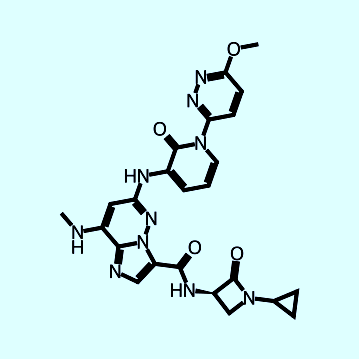 CNc1cc(Nc2cccn(-c3ccc(OC)nn3)c2=O)nn2c(C(=O)N[C@@H]3CN(C4CC4)C3=O)cnc12